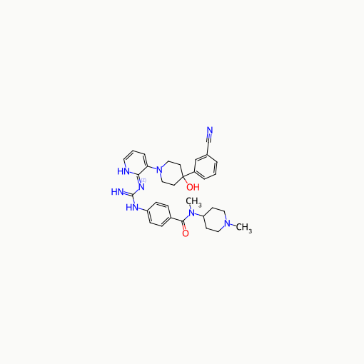 CN1CCC(N(C)C(=O)c2ccc(NC(=N)/N=c3\[nH]cccc3N3CCC(O)(c4cccc(C#N)c4)CC3)cc2)CC1